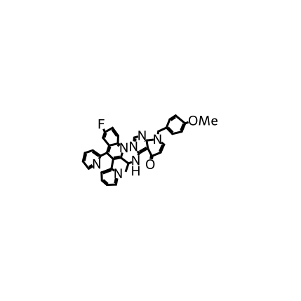 COc1ccc(Cn2ccc(=O)c3c(NC(C)c4nc5ccc(F)cc5c(-c5ccccn5)c4-c4ccccn4)ncnc32)cc1